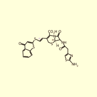 Nc1nc(CC(=O)NC2C(=O)N3C(C(=O)O)=C(/C=C/Sc4cc(=O)c5ccccc5s4)CS[C@H]23)cs1